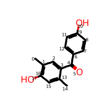 Cc1cc(C(=O)c2ccc(O)cc2)c(C)cc1O